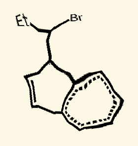 CCC(Br)[C]1C=Cc2ccccc21